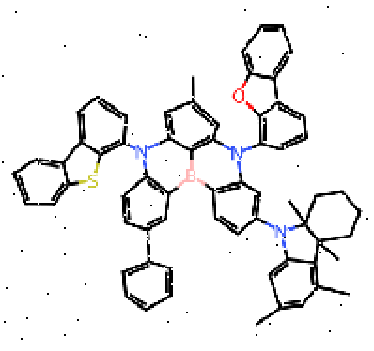 Cc1cc2c3c(c1)N(c1cccc4c1sc1ccccc14)c1ccc(-c4ccccc4)cc1B3c1ccc(N3c4cc(C)cc(C)c4C4(C)CCCCC34C)cc1N2c1cccc2c1oc1ccccc12